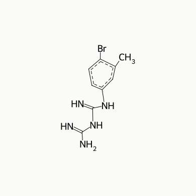 Cc1cc(NC(=N)NC(=N)N)ccc1Br